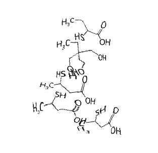 CC(S)CC(=O)O.CC(S)CC(=O)O.CC(S)CC(=O)O.CCC(CO)(CO)CO.CCC(S)C(=O)O